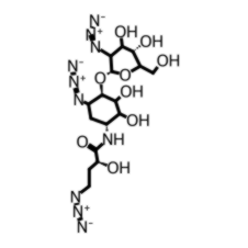 [N-]=[N+]=NCC[C@H](O)C(=O)N[C@@H]1CC(N=[N+]=[N-])[C@@H](O[C@H]2OC(CO)[C@@H](O)C(O)C2N=[N+]=[N-])C(O)C1O